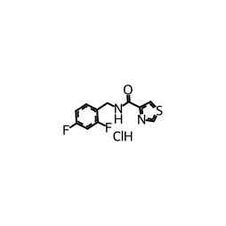 Cl.O=C(NCc1ccc(F)cc1F)c1cscn1